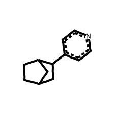 c1cc(C2CC3CCC2C3)ccn1